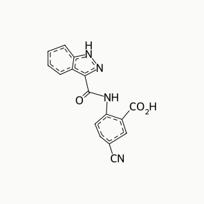 N#Cc1ccc(NC(=O)c2n[nH]c3ccccc23)c(C(=O)O)c1